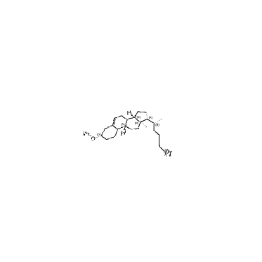 CC(C)CCC[C@@H](C)[C@H]1CC[C@H]2C3CC=C4C[C@@H](OC(C)C)CCC4[C@H]3CC[C@]12C